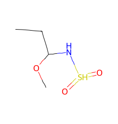 CCC(N[SH](=O)=O)OC